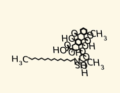 CCCCCCCCCCCCCCCCN(S)C1CC(O[C@H]2C[C@](O)(C(=O)CO)Cc3c(O)c4c(c(O)c32)C(=O)c2c(OC)cccc2C4=O)OC(C)C1O